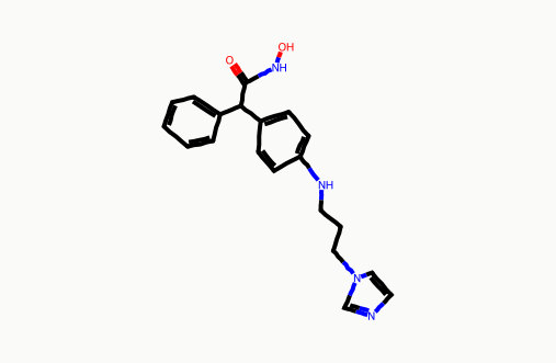 O=C(NO)C(c1ccccc1)c1ccc(NCCCn2ccnc2)cc1